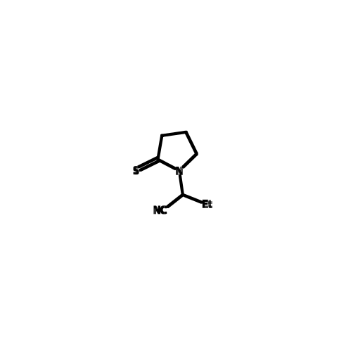 CCC(C#N)N1CCCC1=S